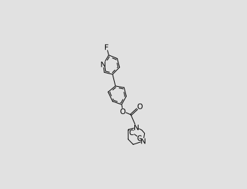 O=C(Oc1ccc(-c2ccc(F)nc2)cc1)N1CCN2CCC1CC2